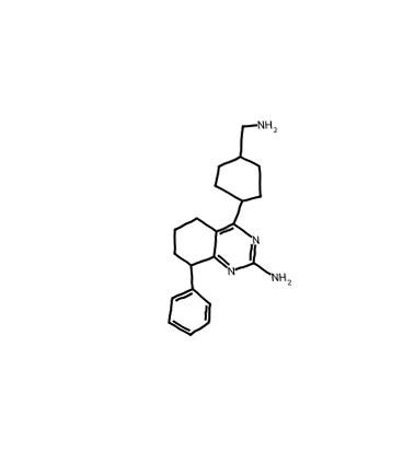 NCC1CCC(c2nc(N)nc3c2CCCC3c2ccccc2)CC1